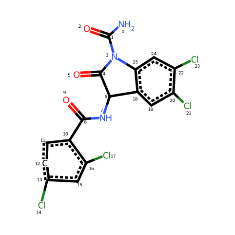 NC(=O)N1C(=O)C(NC(=O)c2ccc(Cl)cc2Cl)c2cc(Cl)c(Cl)cc21